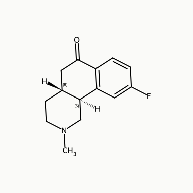 CN1CC[C@@H]2CC(=O)c3ccc(F)cc3[C@H]2C1